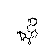 O=C1c2nc[nH]c2N(Cc2ccccn2)C2=NCCN12